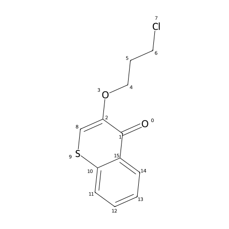 O=c1c(OCCCCl)csc2ccccc12